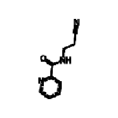 N#CCCNC(=O)c1ccccn1